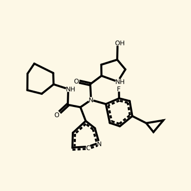 O=C(NC1CCCCC1)C(c1cccnc1)N(C(=O)C1CC(O)CN1)c1ccc(C2CC2)cc1F